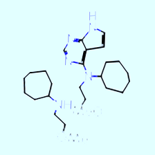 COCCN(c1ncnc2[nH]ccc12)C1CCCCCC1.COCCNC1CCCCCC1